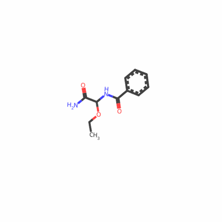 CCOC(NC(=O)c1ccccc1)C(N)=O